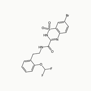 O=C(NCCc1ccccc1OC(F)F)C1=Nc2ccc(Br)cc2S(=O)(=O)N1